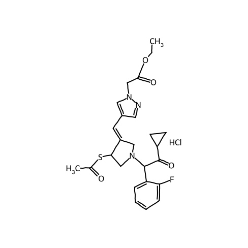 CCOC(=O)Cn1cc(C=C2CN(C(C(=O)C3CC3)c3ccccc3F)CC2SC(C)=O)cn1.Cl